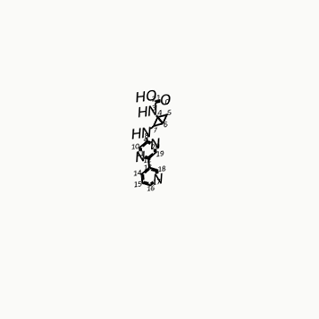 O=C(O)NC12CC1C2Nc1cnc(-c2cccnc2)cn1